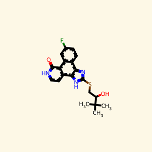 CC(C)(C)C(O)CSc1nc2c3ccc(F)cc3c3c(=O)[nH]ccc3c2[nH]1